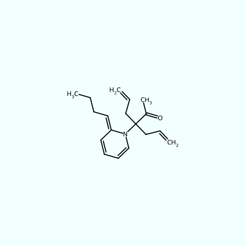 C=CCC(CC=C)(C(C)=O)N1C=CC=C/C1=C\CCC